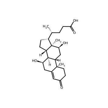 C[C@H](CCC(=O)O)[C@H]1CC[C@H]2[C@@H]3[C@H](O)CC4=CC(=O)CC[C@]4(C)[C@H]3C[C@H](O)[C@]12C